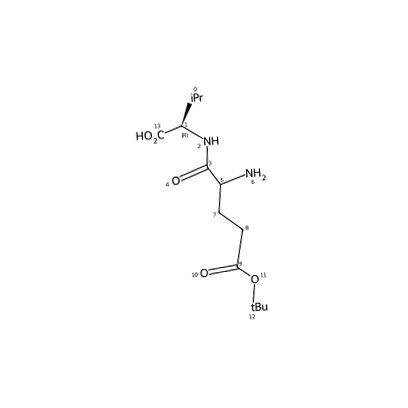 CC(C)[C@@H](NC(=O)C(N)CCC(=O)OC(C)(C)C)C(=O)O